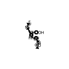 O=S(=O)(C1CC1)n1cc(-c2nccc(Nc3cc(NC4CCC(O)CC4)c(C#Cc4cnn([C@H]5CC5(F)F)c4)cn3)n2)cn1